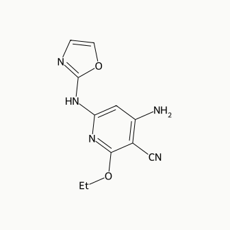 CCOc1nc(Nc2ncco2)cc(N)c1C#N